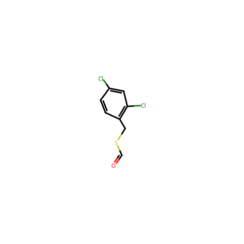 O=[C]SCc1ccc(Cl)cc1Cl